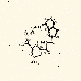 CCC[C@H](NC(=O)C1O[C@H]1C(=O)NCC)C(=O)NCc1ccc2ccccc2c1